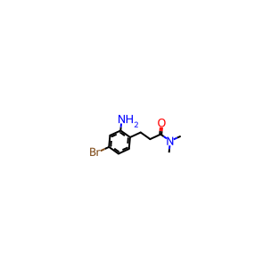 CN(C)C(=O)CCc1ccc(Br)cc1N